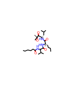 CCCCCC(=O)N[C@@H](C(=O)N[C@@H](CCCC)C(=O)N[C@@H](CC(C)C)C(=O)[C@@]1(C)CO1)C(C)C